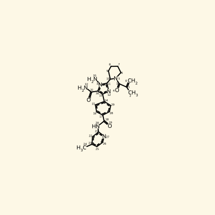 C=C(C)C(=O)N1CCCCC1c1nc(-c2ccc(C(=O)Nc3cc(C)ccn3)cc2)c(C(N)=O)n1N